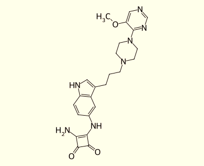 COc1cncnc1N1CCN(CCCc2c[nH]c3ccc(Nc4c(N)c(=O)c4=O)cc23)CC1